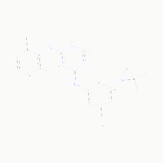 Cc1cccc(C)c1Nc1nc(Nc2cc(C(=O)O)cc(N3CC3(C)C)c2)nc(C(C)(C)C)n1